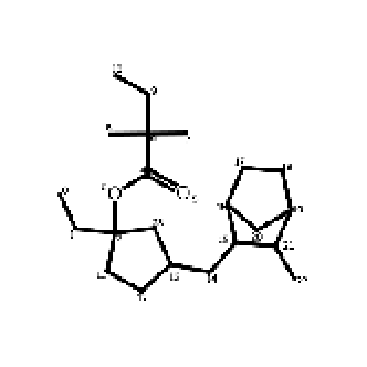 CCC1(OC(=O)C(C)(C)CC)CCC(CC2C3CCC(C3)C2C)C1